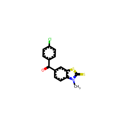 Cn1c(=S)sc2cc(C(=O)c3ccc(Cl)cc3)ccc21